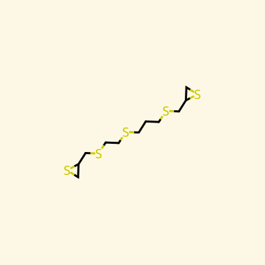 C(CSCCSCC1CS1)CSCC1CS1